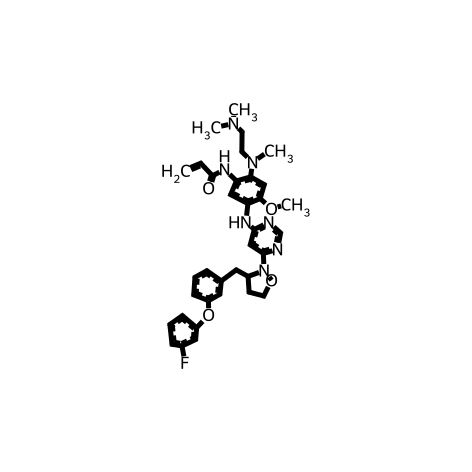 C=CC(=O)Nc1cc(Nc2cc(N3OCCC3Cc3cccc(Oc4cccc(F)c4)c3)ncn2)c(OC)cc1N(C)CCN(C)C